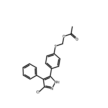 CC(=O)OCSc1ccc(-c2[nH]nc(Cl)c2-c2ccccc2)cc1